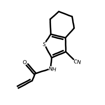 C=CC(=O)Nc1sc2c(c1C#N)CCCC2